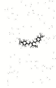 CC(C#N)=C(C=Cc1ccc(N(C)C)cc1)C=Cc1ccc(N(C)C)cc1